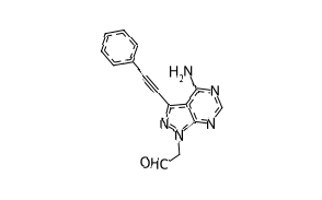 Nc1ncnc2c1c(C#Cc1ccccc1)nn2CC=O